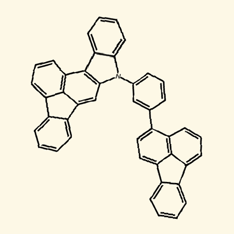 c1cc(-c2ccc3c4c(cccc24)-c2ccccc2-3)cc(-n2c3ccccc3c3c4cccc5c4c(cc32)-c2ccccc2-5)c1